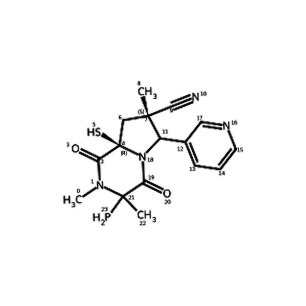 CN1C(=O)[C@]2(S)C[C@](C)(C#N)C(c3cccnc3)N2C(=O)C1(C)P